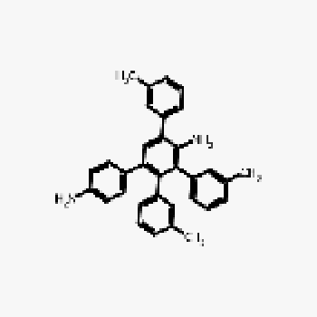 Cc1cccc(-c2cc(-c3ccc(N)cc3)c(-c3cccc(C)c3)c(-c3cccc(C)c3)c2N)c1